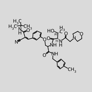 Cc1ccc(CNC(=O)C(COc2cccc(C=C(C#N)C(=O)NC(C)(C)C)c2)NC(=O)[C@@H](NC(=O)CN2CCOCC2)[C@@H](C)O)cc1